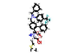 CSCC[C@H](NC(=O)c1ccc(CN(Cc2ccccc2)c2ccc(C(F)(F)F)cc2)cc1-c1ccccc1C)C(=O)O